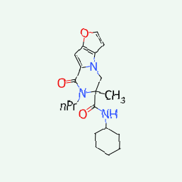 CCCN1C(=O)c2cc3occc3n2CC1(C)C(=O)NC1CCCCC1